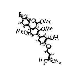 COC(=O)c1c(OC)c(-c2ccc(OCC=C(C)C)c(O)c2)cc(OC)c1-c1ccc(F)cc1